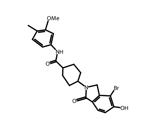 COc1cc(NC(=O)C2CCC(N3Cc4c(ccc(O)c4Br)C3=O)CC2)ccc1C